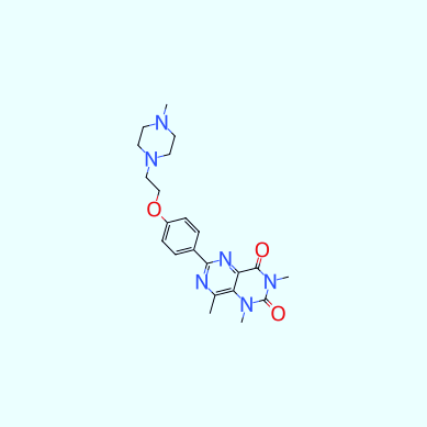 Cc1nc(-c2ccc(OCCN3CCN(C)CC3)cc2)nc2c(=O)n(C)c(=O)n(C)c12